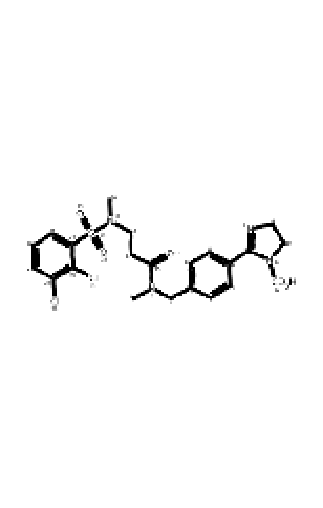 CN(Cc1ccc(C2=NCCN2C(=O)O)cc1)C(=O)CCN(C)S(=O)(=O)c1cccc(Cl)c1Cl